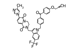 C#CCOc1ccc(C(=O)c2ccc(Cn3cc(CN4CCn5c(ccc(-n6cnc(C)c6)c5=O)C4=O)c4cc(C(F)(F)F)ccc43)cc2)cc1